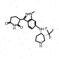 Cn1nc(C2CCC(=O)NC2=O)c2ccc(N[C@H]3CCNC[C@H]3C(F)(F)F)cc21